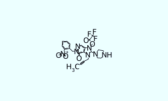 CC#CCN1c2c(cnn(Cc3ccccc3[N+](=O)[O-])c2=O)N(OC(=O)C(F)(F)F)C1N1CCNCC1